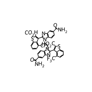 NC(=O)c1ccc2c(c1)nc(-c1c(C(=O)O)sc3cccc(C(F)(F)F)c13)n2CCn1c(-c2c(C(=O)O)sc3cccc(C(F)(F)F)c23)nc2cc(C(N)=O)ccc21